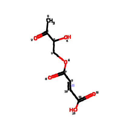 CC(=O)C(O)COC(=O)/C=C/C(=O)O